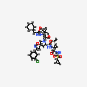 C=C[C@@H]1C[C@]1(NC(=O)[C@@H]1C[C@]2(CC(c3cccc(Cl)c3)=NO2)CN1C(=O)[C@@H](NC(=O)CC1CCCCC1)C(C)(C)C)C(=O)NS(=O)(=O)C1CC1